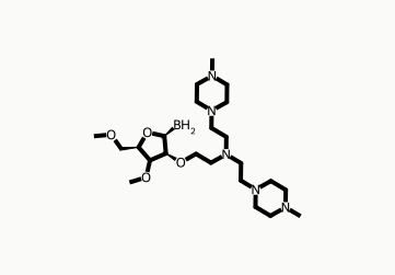 B[C@@H]1O[C@H](COC)C(OC)[C@@H]1OCCN(CCN1CCN(C)CC1)CCN1CCN(C)CC1